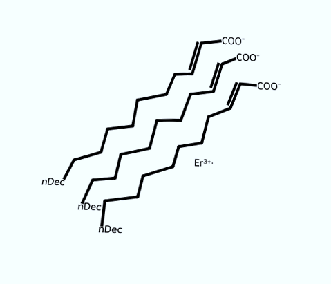 CCCCCCCCCCCCCCCCCC=CC(=O)[O-].CCCCCCCCCCCCCCCCCC=CC(=O)[O-].CCCCCCCCCCCCCCCCCC=CC(=O)[O-].[Er+3]